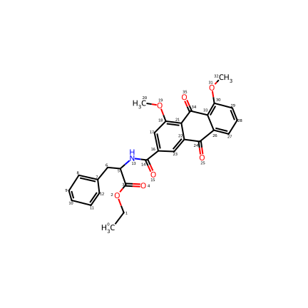 CCOC(=O)C(Cc1ccccc1)NC(=O)c1cc(OC)c2c(c1)C(=O)c1cccc(OC)c1C2=O